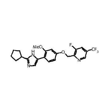 COc1cc(OCc2ncc(C(F)(F)F)cc2F)ccc1-c1cnc(C2CCCC2)[nH]1